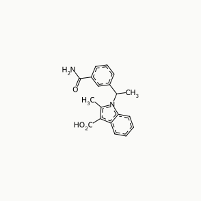 Cc1c(C(=O)O)c2ccccc2n1C(C)c1cccc(C(N)=O)c1